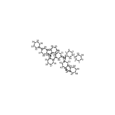 c1ccc(-c2cccc(N(c3cccc(-c4ccccc4-n4c5ccccc5c5cc(-c6ccccc6)ccc54)c3)c3ccc4sc5ccccc5c4c3)c2)cc1